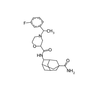 CC(c1cccc(F)c1)N1CCOC(C(=O)NC2C3CC4CC2CC(C(N)=O)(C4)C3)C1